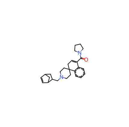 O=C(C1=CCC2(CCN(CC3CC4C=CC3C4)CC2)c2ccccc21)N1CCCC1